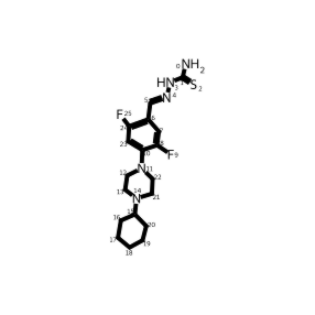 NC(=S)N/N=C/c1cc(F)c(N2CCN(C3CCCCC3)CC2)cc1F